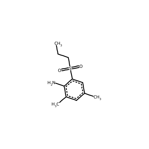 CCCS(=O)(=O)c1cc(C)cc(C)c1N